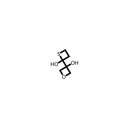 OC1(C2(O)[CH]CS2)COC1